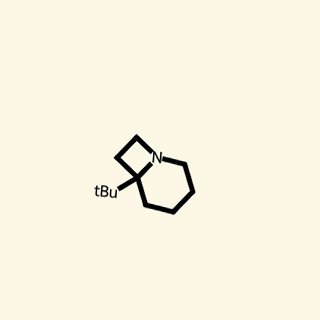 CC(C)(C)C12CCCCN1CC2